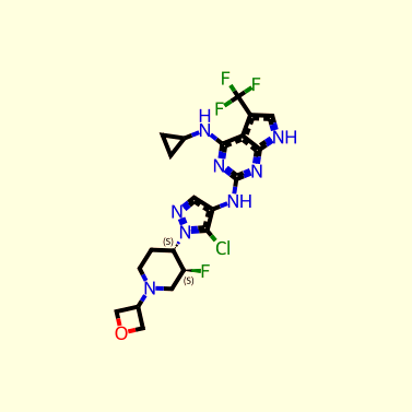 F[C@H]1CN(C2COC2)CC[C@@H]1n1ncc(Nc2nc(NC3CC3)c3c(C(F)(F)F)c[nH]c3n2)c1Cl